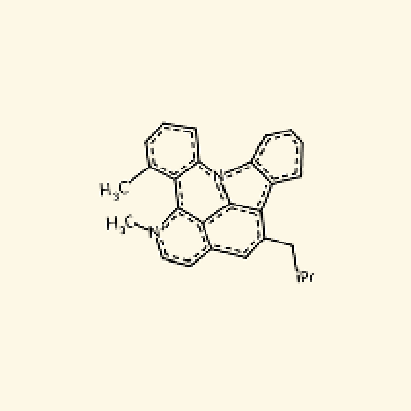 Cc1cccc2c1c1c3c(cc[n+]1C)cc(CC(C)C)c1c4ccccc4n2c13